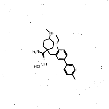 CCOc1ccc(-c2ccc(C)nc2)cc1CC1(C(N)=O)CCC(NC)CC1.Cl.Cl